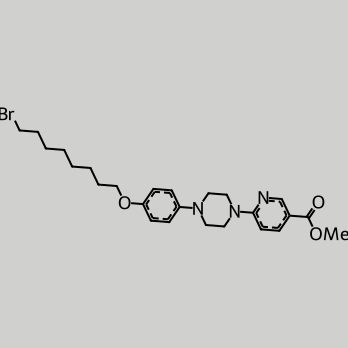 COC(=O)c1ccc(N2CCN(c3ccc(OCCCCCCCCBr)cc3)CC2)nc1